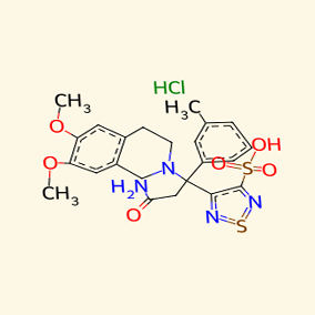 COc1cc2c(cc1OC)CN(C(CC(N)=O)(c1cccc(C)c1)c1nsnc1S(=O)(=O)O)CC2.Cl